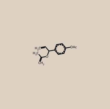 C=CC(OC(=C)C)c1ccc(OC(C)=O)cc1